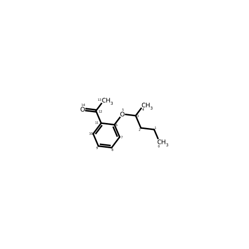 CCCC(C)Oc1ccccc1C(C)=O